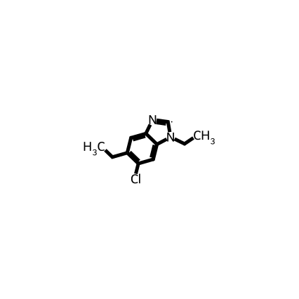 CCc1cc2n[c]n(CC)c2cc1Cl